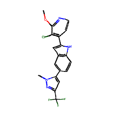 COc1nccc(-c2cc3cc(-c4cc(C(F)(F)F)nn4C)ccc3[nH]2)c1Cl